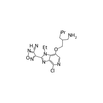 CCn1c(-c2nonc2N)nc2c(Cl)ncc(OCC(CN)CC(C)C)c21